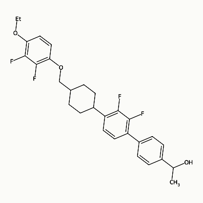 CCOc1ccc(OCC2CCC(c3ccc(-c4ccc(C(C)O)cc4)c(F)c3F)CC2)c(F)c1F